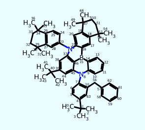 CC(C)(C)c1ccc(N2c3ccccc3B3c4cc5c(cc4N(c4ccc6c(c4)C(C)(C)CCC6(C)C)c4cc(C(C)(C)C)cc2c43)C(C)(C)CCC5(C)C)c(Cc2ccccc2)c1